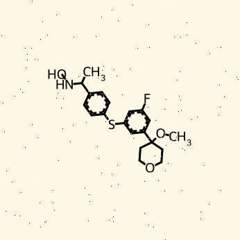 COC1(c2cc(F)cc(Sc3ccc(C(C)NO)cc3)c2)CCOCC1